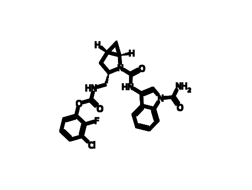 NC(=O)n1cc(NC(=O)N2[C@H](CNC(=O)Oc3cccc(Cl)c3F)C[C@@H]3C[C@H]32)c2ccccc21